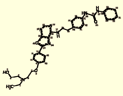 CCN(CCO)CCOc1ccc(-c2nc3c(NCCc4ccc(NC(=O)Nc5ccccc5)cc4)ncnc3o2)cc1